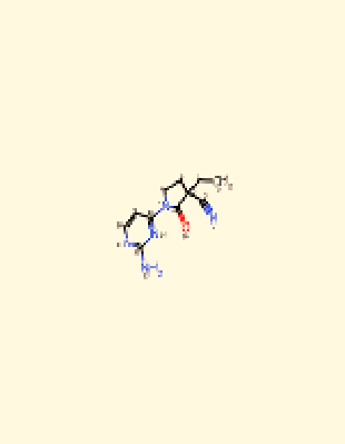 CCC1(C#N)CCN(c2ccnc(N)n2)C1=O